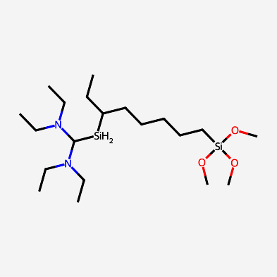 CCC(CCCCC[Si](OC)(OC)OC)[SiH2]C(N(CC)CC)N(CC)CC